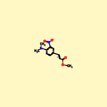 COC(=O)/C=C/c1ccc(N(C)C)c([N+](=O)[O-])c1